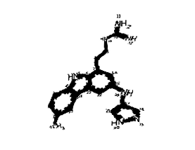 Cc1ccc2[nH]c3c(CCNC(=N)N)cc(Nc4cn[nH]c4)cc3c2c1